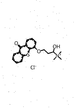 C[N+](C)(C)C(O)CCOc1cccc2c(=O)c3ccccc3sc12.[Cl-]